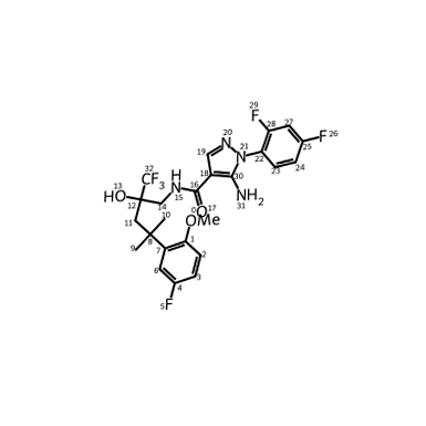 COc1ccc(F)cc1C(C)(C)CC(O)(CNC(=O)c1cnn(-c2ccc(F)cc2F)c1N)C(F)(F)F